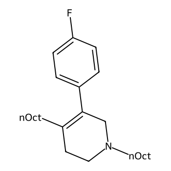 CCCCCCCCC1=C(c2ccc(F)cc2)CN(CCCCCCCC)CC1